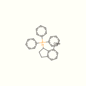 COc1cccc2c1C([PH](c1ccccc1)(c1ccccc1)c1ccccc1)CC2